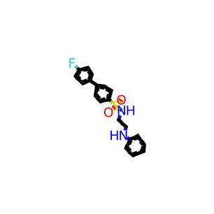 O=S(=O)(NCCNc1ccccc1)c1ccc(-c2ccc(F)cc2)cc1